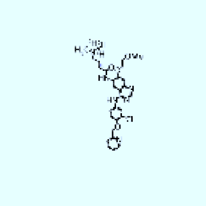 [2H]C([2H])([2H])N(C)C/C=C/C(=O)Nc1cc2c(Nc3ccc(OCc4ccccn4)c(Cl)c3)ncnc2cc1OCCOC